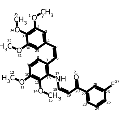 COc1cc(/C=C\c2ccc(OC)c(OC)c2N/C=C\C(=O)c2cccc(F)c2)cc(OC)c1OC